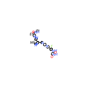 CCC1(C(=O)NC(C)C)CCN(c2ccc(-c3cc(-c4ccn([C@H]5CC[C@H](N6CCC(c7ccc(N[C@@H]8CCC(=O)NC8=O)cc7F)CC6)CC5)c4)cn4ncc(C#N)c34)cn2)CC1